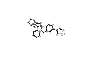 O=C(c1ccccc1)N1C2CCC1C(CN1CCc3cc(-c4cn[nH]c4)ccc31)C2